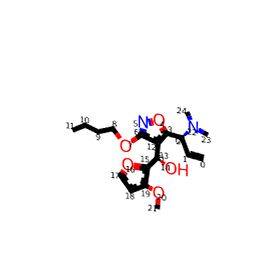 C=C[C@@H](c1onc(OCCCC)c1[C@@H](O)c1occc1OC)N(C)C